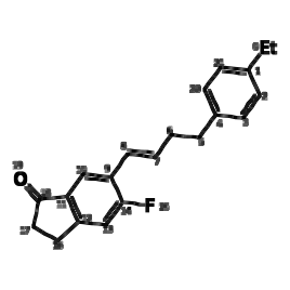 CCc1ccc(CCC=Cc2cc3c(cc2F)CCC3=O)cc1